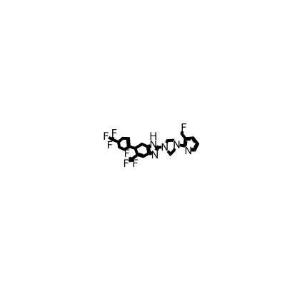 FCc1cccnc1N1CCN(c2nc3c([nH]2)CC(C2=CCC(C(F)(F)F)CC2)C(C(F)(F)F)=C3)CC1